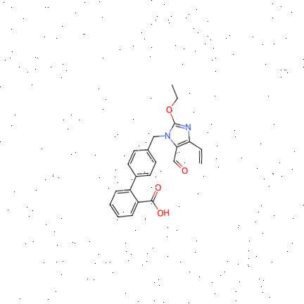 C=Cc1nc(OCC)n(Cc2ccc(-c3ccccc3C(=O)O)cc2)c1C=O